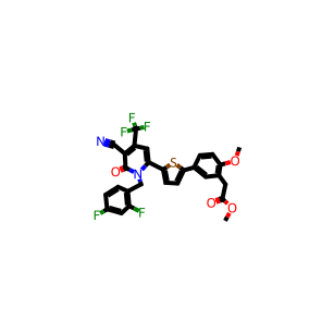 COC(=O)Cc1cc(-c2ccc(-c3cc(C(F)(F)F)c(C#N)c(=O)n3Cc3ccc(F)cc3F)s2)ccc1OC